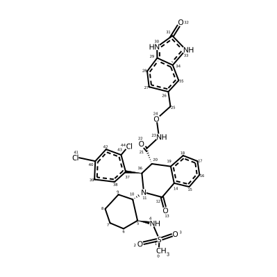 CS(=O)(=O)N[C@H]1CCCC[C@@H]1N1C(=O)c2ccccc2[C@@H](C(=O)NOCc2ccc3[nH]c(=O)[nH]c3c2)[C@@H]1c1ccc(Cl)cc1Cl